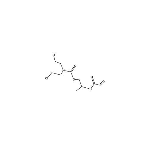 C=CC(=O)OC(C)COC(=O)N(CCCl)CCCl